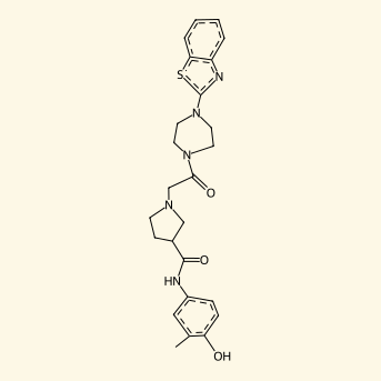 Cc1cc(NC(=O)C2CCN(CC(=O)N3CCN(c4nc5ccccc5s4)CC3)C2)ccc1O